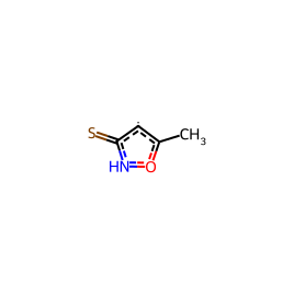 Cc1[c]c(=S)[nH]o1